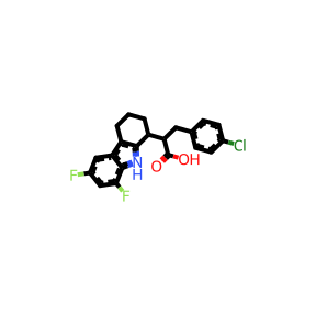 O=C(O)C(Cc1ccc(Cl)cc1)C1CCCc2c1[nH]c1c(F)cc(F)cc21